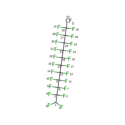 FC(F)C(F)(F)C(F)(F)C(F)(F)C(F)(F)C(F)(F)C(F)(F)C(F)(F)C(F)(F)C(F)(F)C(F)(F)C(F)(F)F